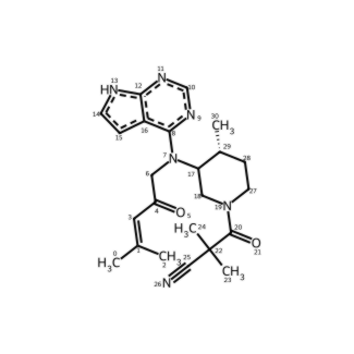 CC(C)=CC(=O)CN(c1ncnc2[nH]ccc12)C1CN(C(=O)C(C)(C)C#N)CC[C@H]1C